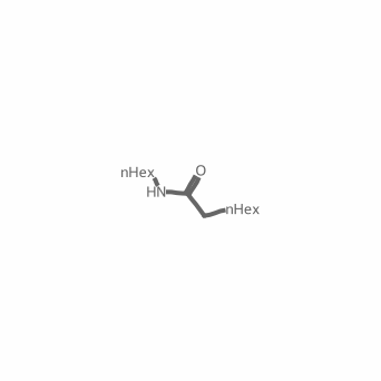 CCCCCCCC(=O)NCCCCCC